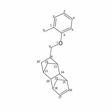 Cc1ccccc1OCC1CC2CC1C1C3C=CC(C3)C21